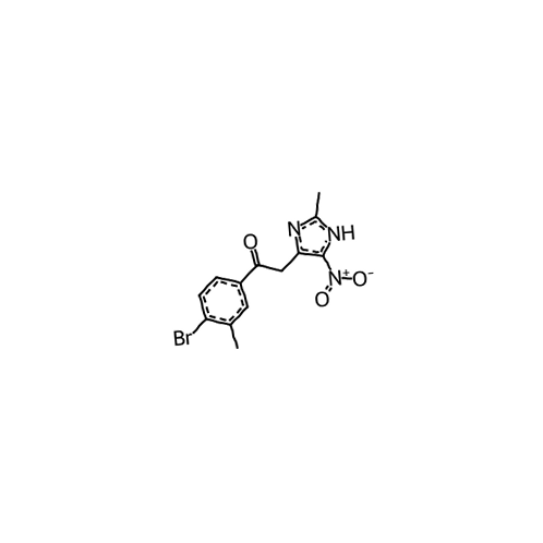 Cc1nc(CC(=O)c2ccc(Br)c(C)c2)c([N+](=O)[O-])[nH]1